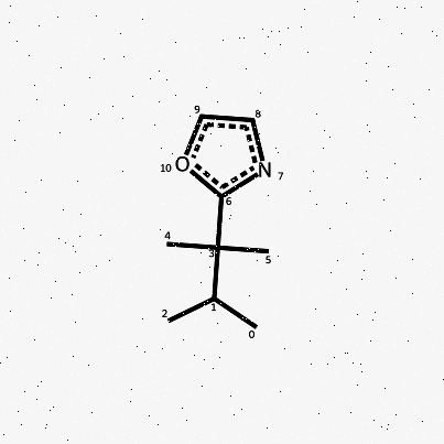 CC(C)C(C)(C)c1ncco1